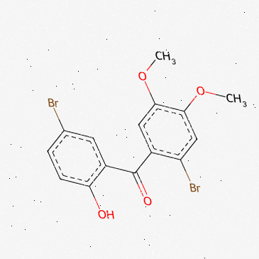 COc1cc(Br)c(C(=O)c2cc(Br)ccc2O)cc1OC